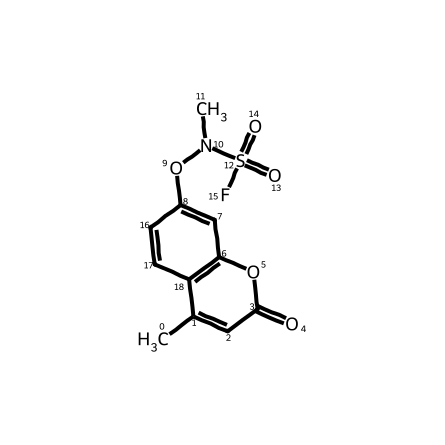 Cc1cc(=O)oc2cc(ON(C)S(=O)(=O)F)ccc12